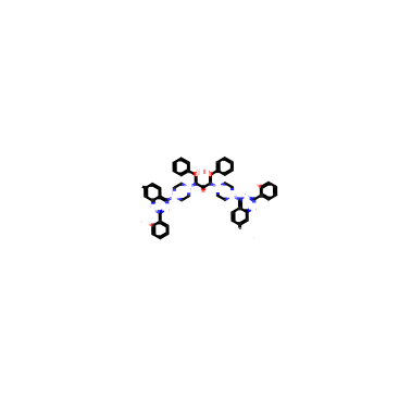 Cc1ccc2c(N3CCN(C(C(=O)C(C(O)c4ccccc4)N4CCN(c5nc(-c6ccccc6O)nc6cc(C)ccc56)CC4)C(O)c4ccccc4)CC3)nc(-c3ccccc3O)nc2c1